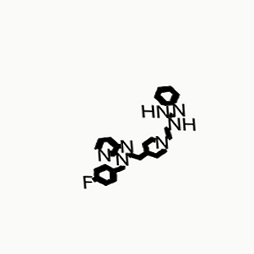 Fc1ccc(Cn2c(CC3CCN(CCNc4nc5ccccc5[nH]4)CC3)nc3cccnc32)cc1